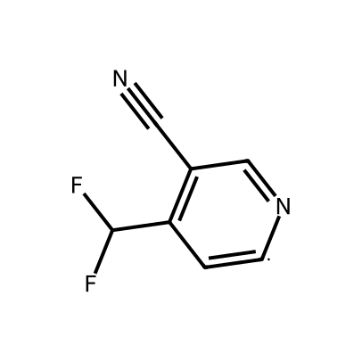 N#Cc1cn[c]cc1C(F)F